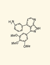 COc1cc(-c2n[nH]c3nccc(-c4cccc(N)c4)c23)cc(OC)c1OC